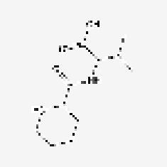 CC(C)C(NC(=O)C1CCCCN1)C(=O)O